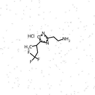 CC(CC(F)(F)F)c1nc(CCN)no1.Cl